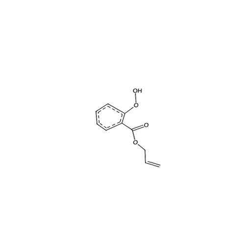 C=CCOC(=O)c1ccccc1OO